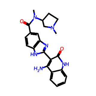 CN1CCC(N(C)C(=O)c2ccc3[nH]c(-c4c(N)c5ccccc5[nH]c4=O)nc3c2)C1